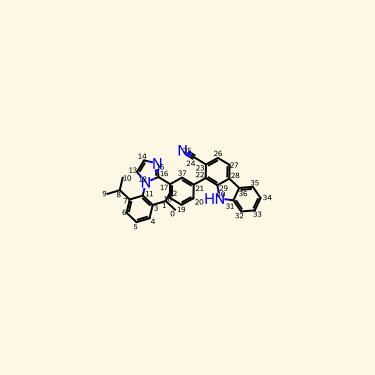 CC(C)c1cccc(C(C)C)c1-n1ccnc1-c1cccc(-c2c(C#N)ccc3c2[nH]c2ccccc23)c1